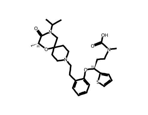 CC(C)N1CC2(CCN(CCc3ccccc3O[C@@H](CCN(C)C(=O)O)c3cccs3)CC2)O[C@H](C)C1=O